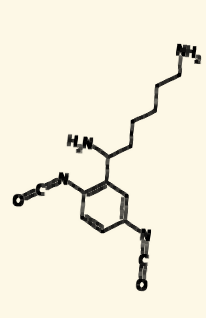 NCCCCCC(N)c1cc(N=C=O)ccc1N=C=O